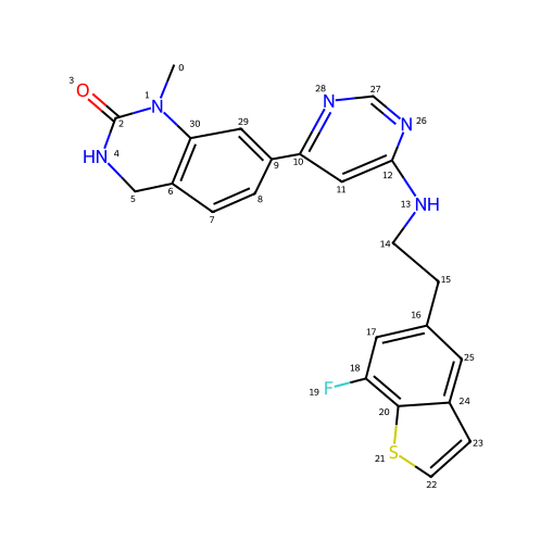 CN1C(=O)NCc2ccc(-c3cc(NCCc4cc(F)c5sccc5c4)ncn3)cc21